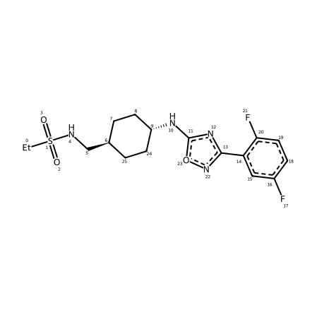 CCS(=O)(=O)NC[C@H]1CC[C@H](Nc2nc(-c3cc(F)ccc3F)no2)CC1